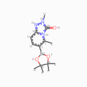 Cc1c(B2OC(C)(C)C(C)(C)O2)ccc2nn(C)c(=O)n12